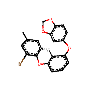 Cc1ccc(Oc2cccc(Oc3ccc4c(c3)OCO4)c2C(=O)O)c(Br)c1